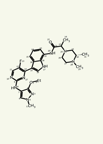 CCOc1nn(C)cc1Nc1ncc(F)c(-c2c[nH]c3c(NC(=O)C(C)N4CCN(C)[C@@H](C)C4)cccc23)n1